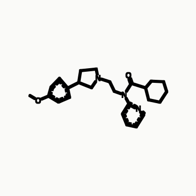 COc1ccc(C2CCN(CCN(C(=O)C3CCCCC3)c3ccccn3)C2)cc1